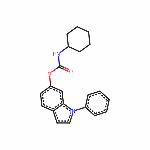 O=C(NC1CCCCC1)Oc1ccc2ccn(-c3ccccc3)c2c1